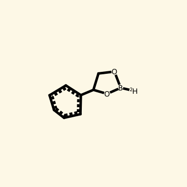 [2H]B1OCC(c2ccccc2)O1